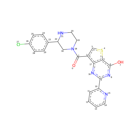 O=C(c1csc2c(O)nc(-c3ccccn3)nc12)N1CCNC(c2ccc(Cl)cc2)C1